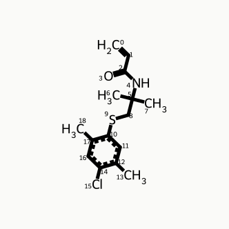 C=CC(=O)NC(C)(C)CSc1cc(C)c(Cl)cc1C